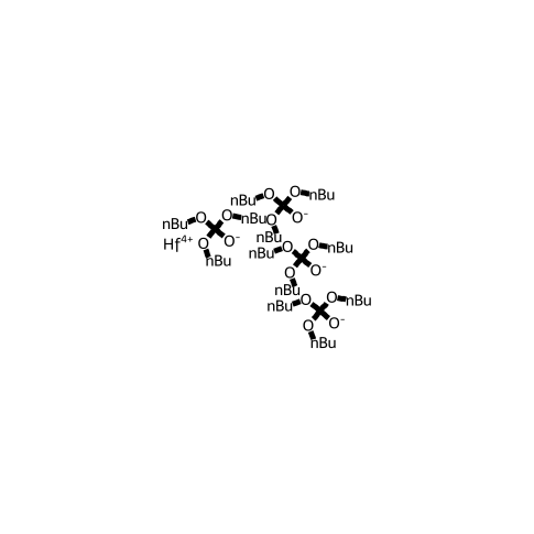 CCCCOC([O-])(OCCCC)OCCCC.CCCCOC([O-])(OCCCC)OCCCC.CCCCOC([O-])(OCCCC)OCCCC.CCCCOC([O-])(OCCCC)OCCCC.[Hf+4]